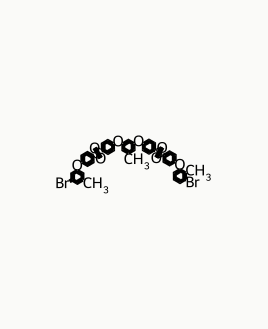 Cc1cc(Br)cc(Oc2ccc(S(=O)(=O)c3ccc(Oc4cc(C)cc(Oc5ccc(S(=O)(=O)c6ccc(Oc7cccc(Br)c7C)cc6)cc5)c4)cc3)cc2)c1